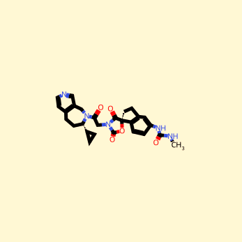 CNC(=O)Nc1ccc2c(c1)CC[C@@]21OC(=O)N(CC(=O)N2Cc3cnccc3CC[C@H]2C2CC2)C1=O